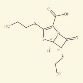 O=C(O)C1=C(SCCO)S[C@@H]2[C@@H](CCO)C(=O)N12